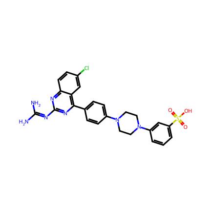 NC(N)=Nc1nc(-c2ccc(N3CCN(c4cccc(S(=O)(=O)O)c4)CC3)cc2)c2cc(Cl)ccc2n1